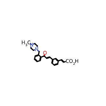 CN1CCN(Cc2ccccc2C(=O)C=Cc2cccc(C=CC(=O)O)c2)CC1